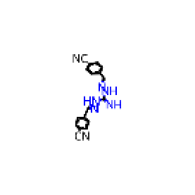 N#Cc1ccc(/C=N/NC(=N)N/N=C/c2ccc(C#N)cc2)cc1